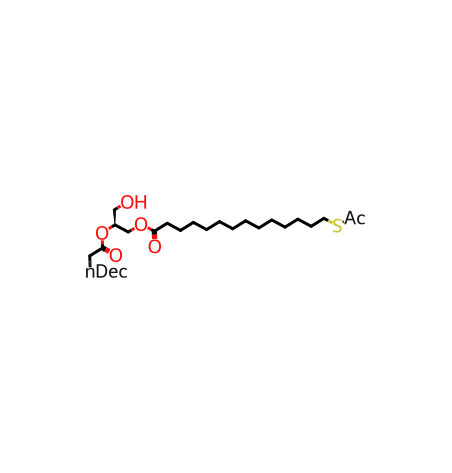 CCCCCCCCCCCC(=O)O[C@@H](CO)COC(=O)CCCCCCCCCCCCCSC(C)=O